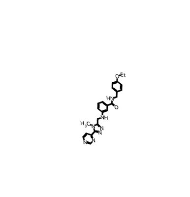 CCOc1ccc(CNC(=O)c2cccc(NCc3nnc(-c4ccncn4)n3C)c2)cc1